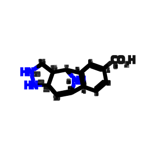 O=C(O)c1ccc2c(c1)C1NC2=CC2NNCC21